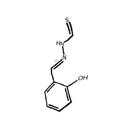 Oc1ccccc1/C=N/NC=S